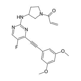 C=CC(=O)N1CCC(Nc2ncc(F)c(C#Cc3cc(OC)cc(OC)c3)n2)C1